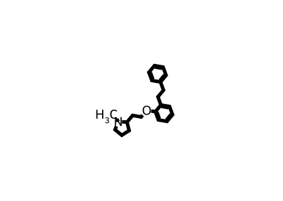 CN1CCCC1CCOc1ccccc1CCc1ccccc1